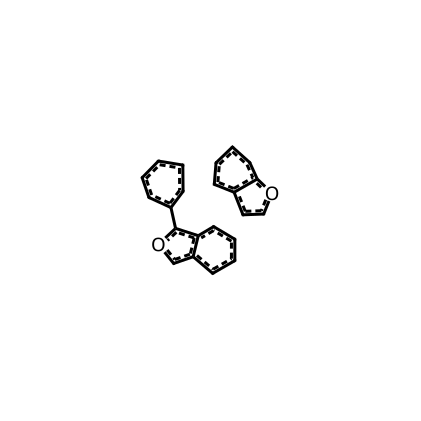 c1ccc(-c2occ3ccccc23)cc1.c1ccc2occc2c1